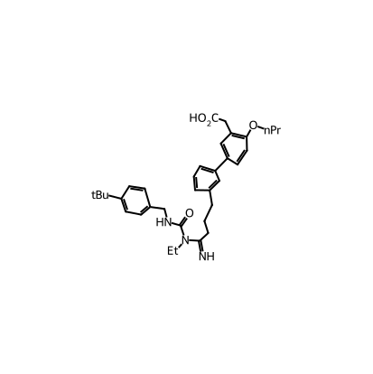 CCCOc1ccc(-c2cccc(CCCC(=N)N(CC)C(=O)NCc3ccc(C(C)(C)C)cc3)c2)cc1CC(=O)O